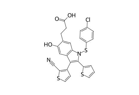 N#Cc1sccc1-c1c(-c2cccs2)n(Sc2ccc(Cl)cc2)c2cc(CCC(=O)O)c(O)cc12